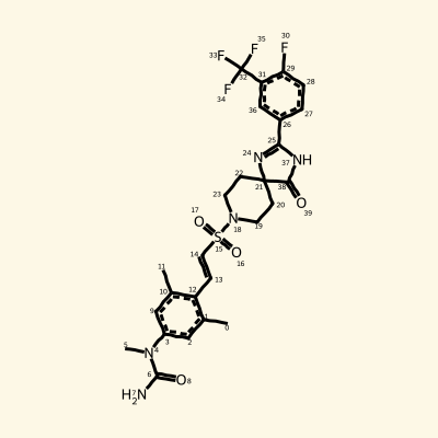 Cc1cc(N(C)C(N)=O)cc(C)c1/C=C/S(=O)(=O)N1CCC2(CC1)N=C(c1ccc(F)c(C(F)(F)F)c1)NC2=O